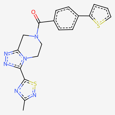 Cc1nsc(-c2nnc3n2CCN(C(=O)c2ccc(-c4cccs4)cc2)C3)n1